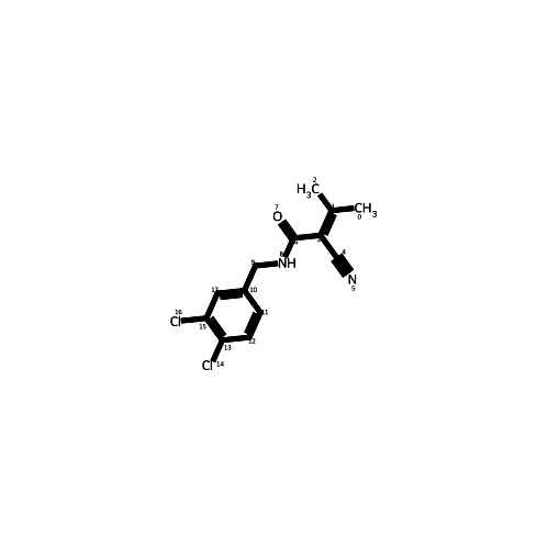 CC(C)=C(C#N)C(=O)NCc1ccc(Cl)c(Cl)c1